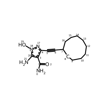 NC(=O)c1c(C#CC2CCCCCCCCC2)nn(O)c1N